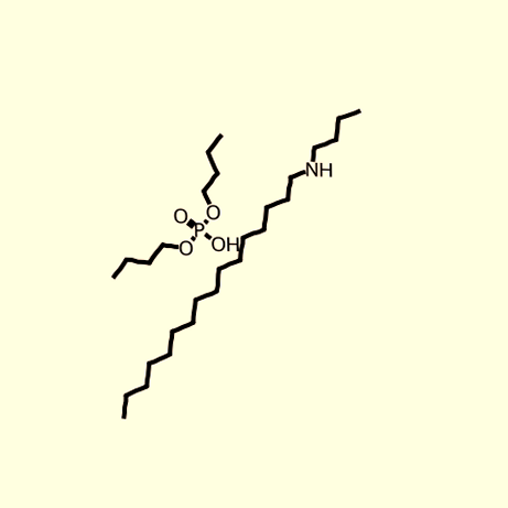 CCCCCCCCCCCCCCCCNCCCC.CCCCOP(=O)(O)OCCCC